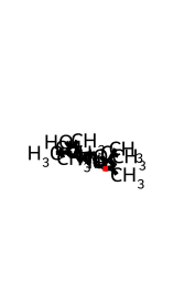 Cc1cc(CN2CCCN(Cc3cc(C)c(O)c(C(C)(C)C)c3)C2)c(O)c(C(C)(C)C)c1